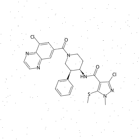 CSc1c(C(=O)N[C@@H]2CCN(C(=O)c3cc(Cl)c4nccnc4c3)C[C@@H]2c2ccccc2)c(Cl)nn1C